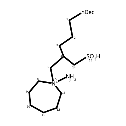 CCCCCCCCCCCCCC(C[N+]1(N)CCCCCC1)CS(=O)(=O)O